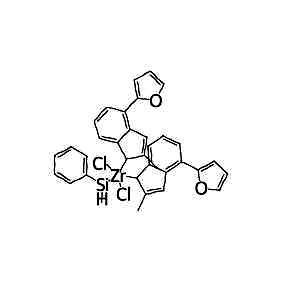 CC1=Cc2c(-c3ccco3)cccc2[CH]1[Zr]([Cl])([Cl])([CH]1C(C)=Cc2c(-c3ccco3)cccc21)[SiH](C)c1ccccc1